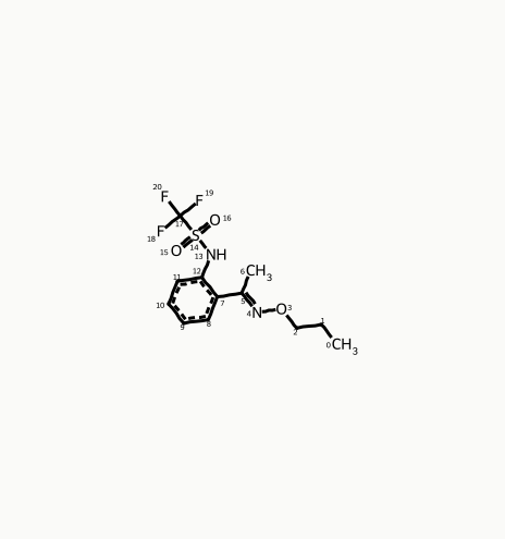 CCCO/N=C(\C)c1ccccc1NS(=O)(=O)C(F)(F)F